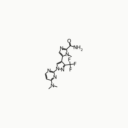 CN(C)c1ccnc(-n2cc(-c3cnc(C(N)=O)n3C)c(C(F)(F)F)n2)n1